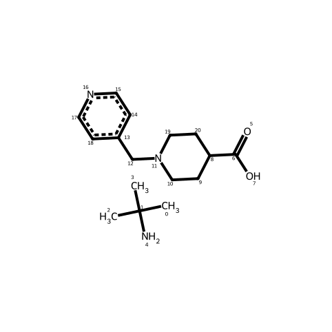 CC(C)(C)N.O=C(O)C1CCN(Cc2ccncc2)CC1